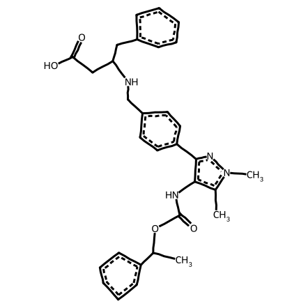 Cc1c(NC(=O)OC(C)c2ccccc2)c(-c2ccc(CNC(CC(=O)O)Cc3ccccc3)cc2)nn1C